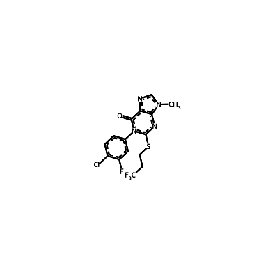 Cn1cnc2c(=O)n(-c3ccc(Cl)c(F)c3)c(SCCC(F)(F)F)nc21